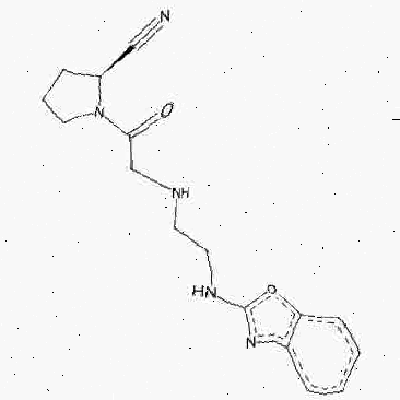 N#C[C@@H]1CCCN1C(=O)CNCCNc1nc2ccccc2o1